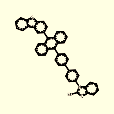 CCc1nc2ccccc2n1-c1ccc(-c2ccc(-c3c4ccccc4c(-c4ccc5sc6ccccc6c5c4)c4ccccc34)cc2)cc1